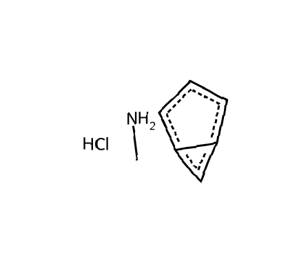 CN.Cl.c1cc2cc-2c1